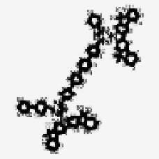 CC1(C)c2ccccc2-c2cc3c4cc5c(cc4n(-c4nc(-c6ccccc6)nc(-c6ccc(-c7ccc(-c8ccc(-c9ccc(-c%10nc(-c%11ccc(-c%12ccccc%12)cc%11)nc(-n%11c%12cc%13c(cc%12c%12cc%14c(cc%12%11)C(C)(C)c%11ccccc%11-%14)-c%11ccccc%11C%13(C)C)n%10)cc9)cc8)cc7)cc6)n4)c3cc21)C(C)(C)c1ccccc1-5